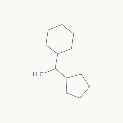 C[C](C1CCCCC1)C1CCCC1